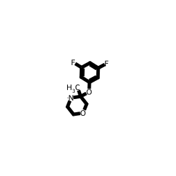 CC1(Oc2cc(F)cc(F)c2)COCC[N]1